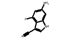 N#Cc1c[nH]c2cc(N)cc(F)c12